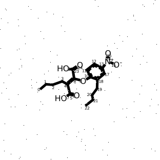 CCCCC(C(=O)O)=C(Oc1ccc([N+](=O)[O-])cc1CCCC)C(=O)O